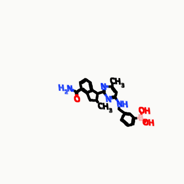 Cc1cc(NCc2cccc(B(O)O)c2)nc(C2c3cccc(C(N)=O)c3CC2C)n1